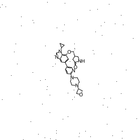 C[C@@H](Oc1cc(-c2ccc(N3CCN(C4COC4)CC3)nc2)cc2ncn(C3CC3)c12)C1CNC(=O)C1